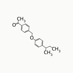 CCC(C)c1ccc(OCc2ccc(C(C)=O)cc2)cc1